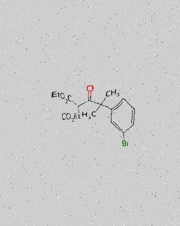 CCOC(=O)C(C(=O)OCC)C(=O)C(C)(C)c1cccc(Br)c1